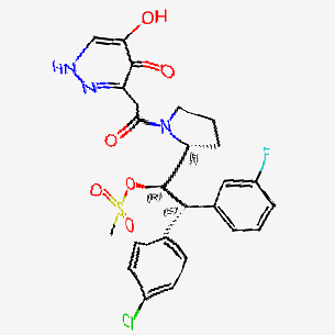 CS(=O)(=O)O[C@H]([C@@H](c1ccc(Cl)cc1)c1cccc(F)c1)[C@H]1CCCN1C(=O)c1n[nH]cc(O)c1=O